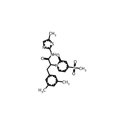 Cc1cc(C)cc(CC(C(=O)Nc2ncc(C)s2)n2ccc(S(C)(=O)=O)cc2=O)c1